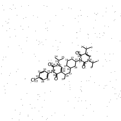 CC(C)c1cn(C(C)C)c(=O)n(C2CCCC(CC(C)c3cn(C(C)C)c(=O)n(-c4ccc(Cl)cc4)c3=O)C2)c1=O